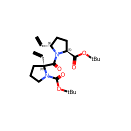 C=C[C@@H]1CC[C@@H](C(=O)OC(C)(C)C)N1C(=O)[C@]1(C=C)CCCN1C(=O)OC(C)(C)C